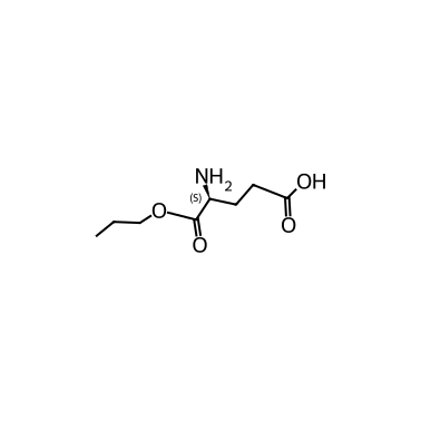 CCCOC(=O)[C@@H](N)CCC(=O)O